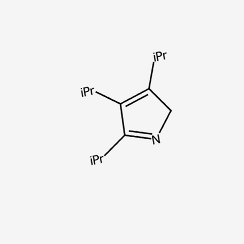 CC(C)C1=NCC(C(C)C)=C1C(C)C